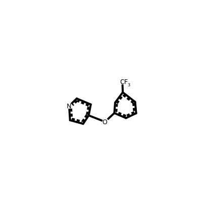 FC(F)(F)c1cccc(Oc2ccncc2)c1